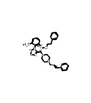 Cc1cccc(C)c1-n1nnnc1[C@H](COCCc1ccccc1)N1CCN(C/C=C/c2ccccc2)CC1